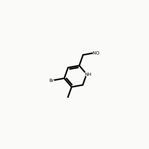 CC1=C(Br)C=C(CN=O)NC1